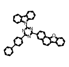 c1ccc(-c2ccc(-c3nc(-c4ccc5c(ccc6c7ccccc7oc56)c4)nc(-n4c5ccccc5c5ccccc54)n3)cc2)cc1